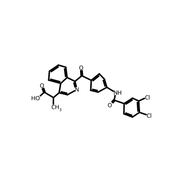 CC(C(=O)O)c1cnc(C(=O)c2ccc(NC(=O)c3ccc(Cl)c(Cl)c3)cc2)c2ccccc12